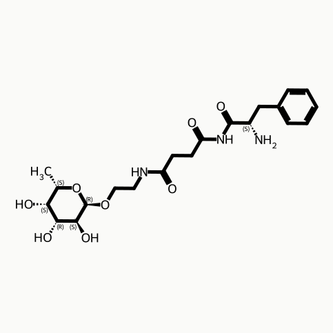 C[C@@H]1O[C@@H](OCCNC(=O)CCC(=O)NC(=O)[C@@H](N)Cc2ccccc2)[C@@H](O)[C@H](O)[C@@H]1O